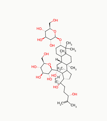 C=C(C)[C@@H](O)CC[C@@](C)(O)[C@H]1CC[C@@]2(C)[C@@H]1[C@@](O)([C@@H]1O[C@H](CO)[C@@H](O)[C@H](O)[C@H]1O)C[C@@H]1[C@@]3(C)CC[C@H](O[C@@H]4O[C@H](CO)[C@@H](O)[C@H](O)[C@H]4O)C(C)(C)C3CC[C@]12C